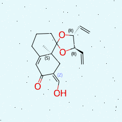 C=C[C@H]1OC2(CCCC3=CC(=O)/C(=C\O)C[C@@]32C)O[C@@H]1C=C